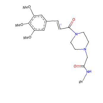 COc1cc(/C=C/C(=O)N2CCN(CC(=O)NC(C)C)CC2)cc(OC)c1OC